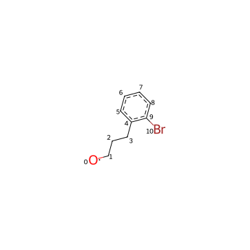 [O]CCCc1ccccc1Br